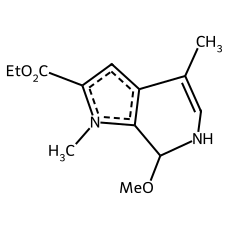 CCOC(=O)c1cc2c(n1C)C(OC)NC=C2C